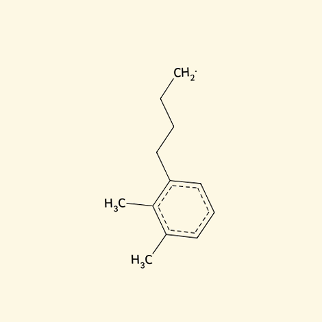 [CH2]CCCc1cccc(C)c1C